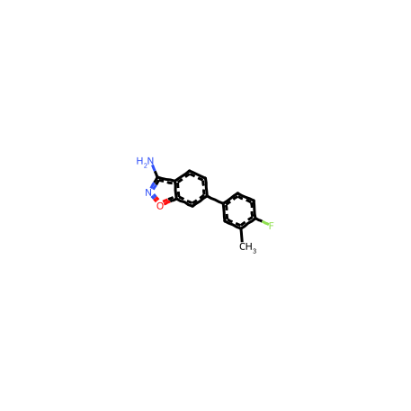 Cc1cc(-c2ccc3c(N)noc3c2)ccc1F